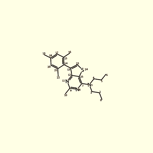 CCCN(CCC)c1nc(C)nc2c(-c3c(C)cc(C)cc3C)csc12